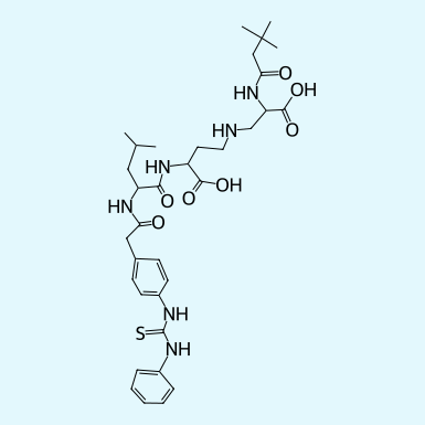 CC(C)CC(NC(=O)Cc1ccc(NC(=S)Nc2ccccc2)cc1)C(=O)NC(CCNCC(NC(=O)CC(C)(C)C)C(=O)O)C(=O)O